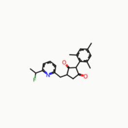 Cc1cc(C)c(C2C(=O)CC(Cc3cccc(C(C)F)n3)C2=O)c(C)c1